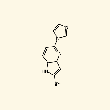 CC(C)C1=CC2N=C(n3ccnc3)C=CC2N1